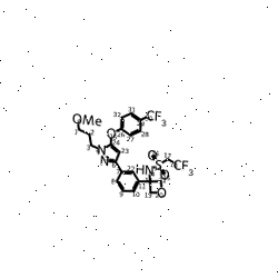 COCCCn1nc(-c2cccc(C3(NS(=O)(=O)CC(F)(F)F)COC3)c2)cc1Oc1ccc(C(F)(F)F)cc1